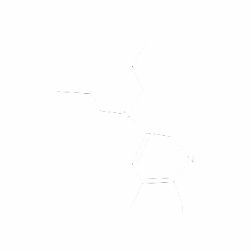 CCCN(CCC)c1cnc(F)c(C)c1